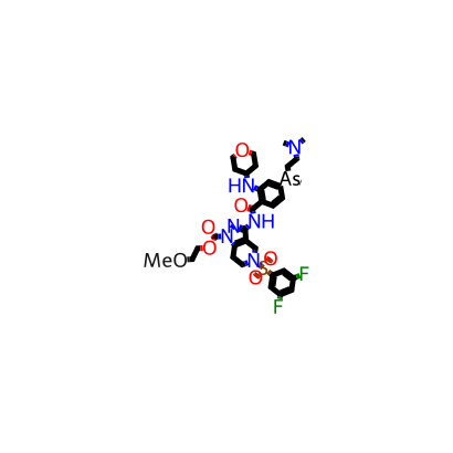 COCCOC(=O)n1nc(NC(=O)c2ccc([As](C)CCN(C)C)cc2NC2CCOCC2)c2c1CCN(S(=O)(=O)c1cc(F)cc(F)c1)C2